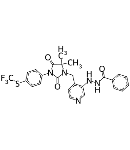 CC1(C)C(=O)N(c2ccc(SC(F)(F)F)cc2)C(=O)N1Cc1ccncc1NNC(=O)c1ccccc1